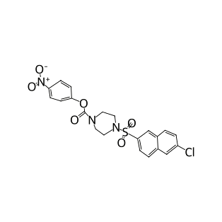 O=C(Oc1ccc([N+](=O)[O-])cc1)N1CCN(S(=O)(=O)c2ccc3cc(Cl)ccc3c2)CC1